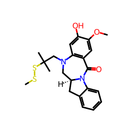 COc1cc2c(cc1O)N(CC(C)(C)SSC)C[C@@H]1Cc3ccccc3N1C2=O